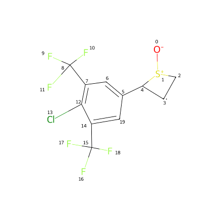 [O-][S+]1C[CH]C1c1cc(C(F)(F)F)c(Cl)c(C(F)(F)F)c1